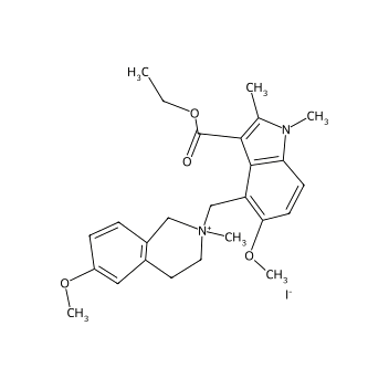 CCOC(=O)c1c(C)n(C)c2ccc(OC)c(C[N+]3(C)CCc4cc(OC)ccc4C3)c12.[I-]